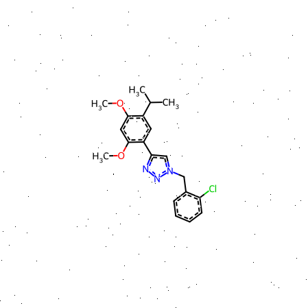 COc1cc(OC)c(C(C)C)cc1-c1cn(Cc2ccccc2Cl)nn1